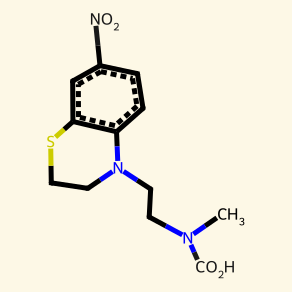 CN(CCN1CCSc2cc([N+](=O)[O-])ccc21)C(=O)O